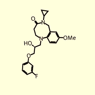 COc1ccc2c(c1)CN(C1CC1)C(=O)CCN2C[C@H](O)COc1cccc(F)c1